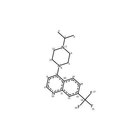 CC(C)N1CCN(c2ccnc3cc(C(F)(F)F)ccc23)CC1